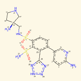 Nc1ccc(-c2ccc(S(=O)(=O)NC[C@]3(N)CCNC3)c(S(N)(=O)=O)c2-c2nn[nH]n2)cn1